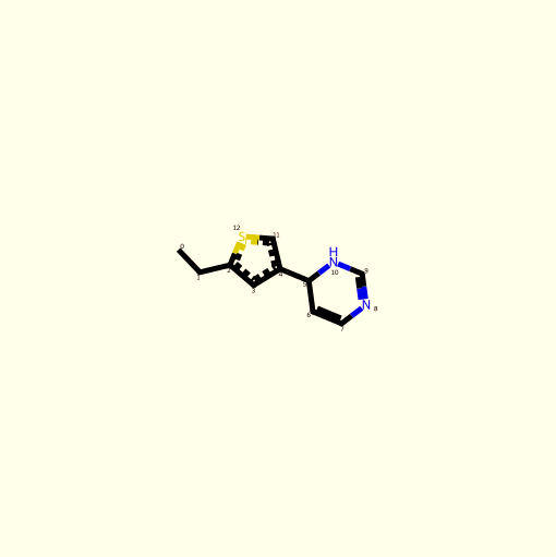 CCc1cc(C2C=CN=CN2)cs1